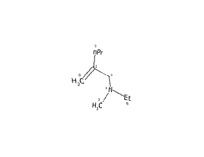 C=C(CCC)CN(C)CC